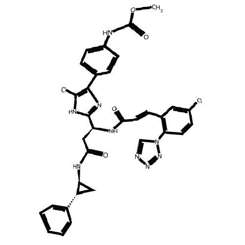 COC(=O)Nc1ccc(-c2nc([C@H](CC(=O)N[C@H]3C[C@@H]3c3ccccc3)NC(=O)/C=C/c3cc(Cl)ccc3-n3cnnn3)[nH]c2Cl)cc1